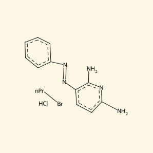 CCCBr.Cl.Nc1ccc(/N=N/c2ccccc2)c(N)n1